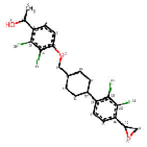 CC(O)c1ccc(OCC2CCC(c3ccc(C4CO4)c(F)c3F)CC2)c(F)c1F